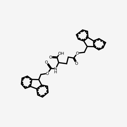 O=C(CCC(NC(=O)OCC1c2ccccc2-c2ccccc21)C(=O)O)OCC1c2ccccc2-c2ccccc21